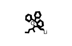 [Li][CH]=CCC(OC(c1ccccc1)(c1ccccc1)c1ccccc1)C(C)CCC